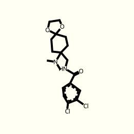 CN(C)C1(CNC(=O)c2ccc(Cl)c(Cl)c2)CCC2(CC1)OCCO2